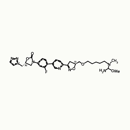 COC(N)N(C)CCCCCOC[C@@H]1CC(c2ccc(-c3ccc(N4C[C@H](Cn5ccnn5)OC4=O)cc3F)cn2)=NO1